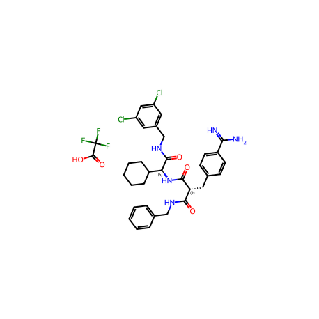 N=C(N)c1ccc(C[C@H](C(=O)NCc2ccccc2)C(=O)N[C@H](C(=O)NCc2cc(Cl)cc(Cl)c2)C2CCCCC2)cc1.O=C(O)C(F)(F)F